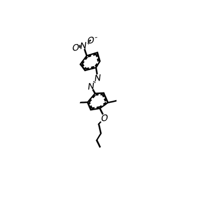 CCCCOc1cc(C)c(N=Nc2ccc([N+](=O)[O-])cc2)cc1C